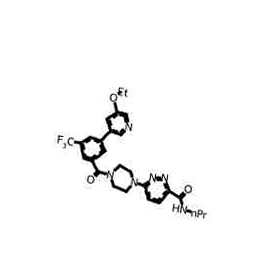 CCCNC(=O)c1ccc(N2CCN(C(=O)c3cc(-c4cncc(OCC)c4)cc(C(F)(F)F)c3)CC2)nn1